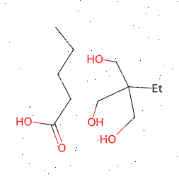 CCC(CO)(CO)CO.CCCCC(=O)O